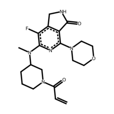 C=CC(=O)N1CCCC(N(C)c2nc(N3CCOCC3)c3c(c2F)CNC3=O)C1